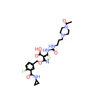 CC(=O)N1CCN(CCCNC(=O)Nc2snc(OCc3ccc(F)c(C(=O)NC4CC4)c3)c2C(=O)O)CC1